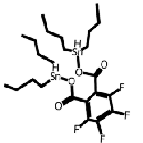 CCC[CH2][SnH]([CH2]CCC)[O]C(=O)c1c(F)c(F)c(F)c(F)c1C(=O)[O][SnH]([CH2]CCC)[CH2]CCC